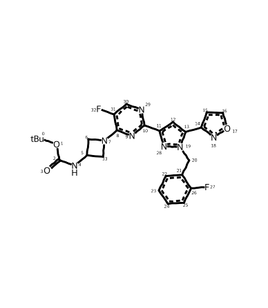 CC(C)(C)OC(=O)NC1CN(c2nc(-c3cc(-c4ccon4)n(Cc4ccccc4F)n3)ncc2F)C1